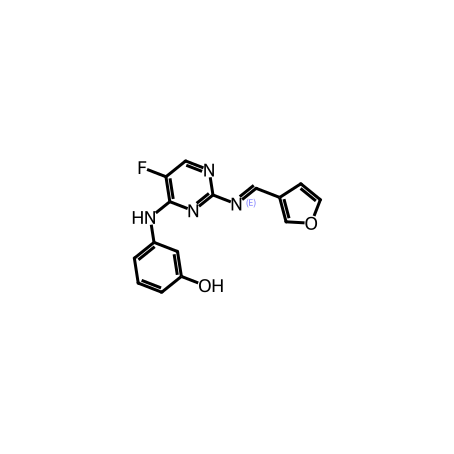 Oc1cccc(Nc2nc(/N=C/c3ccoc3)ncc2F)c1